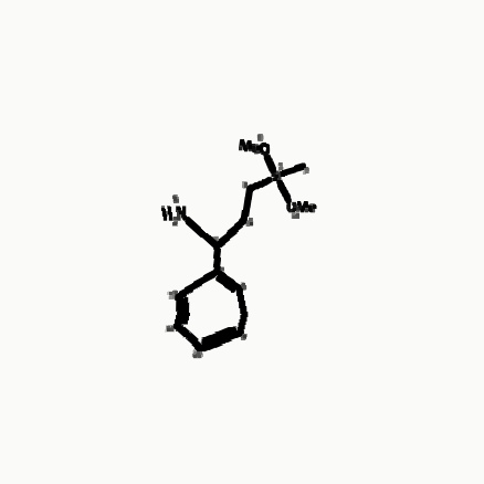 CO[Si](C)(CCC(N)c1ccccc1)OC